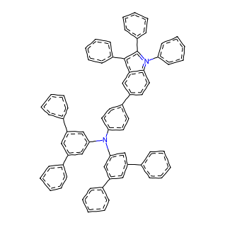 c1ccc(-c2cc(-c3ccccc3)cc(N(c3ccc(-c4ccc5c(c4)c(-c4ccccc4)c(-c4ccccc4)n5-c4ccccc4)cc3)c3cc(-c4ccccc4)cc(-c4ccccc4)c3)c2)cc1